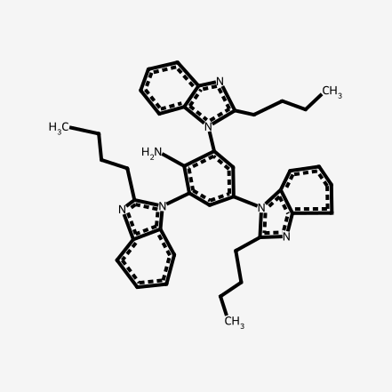 CCCCc1nc2ccccc2n1-c1cc(-n2c(CCCC)nc3ccccc32)c(N)c(-n2c(CCCC)nc3ccccc32)c1